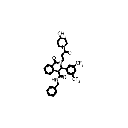 CC1CCN(C(=O)CCN2C(=O)c3ccccc3C(C(=O)NCc3ccccc3)C2c2cc(C(F)(F)F)cc(C(F)(F)F)c2)CC1